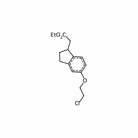 CCOC(=O)CC1CCc2cc(OCCCl)ccc21